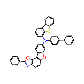 C1=CCC(c2ccc(N(c3ccc4c(c3)oc3ccc5nc(-c6ccccc6)oc5c34)c3cccc4c3sc3ccccc34)cc2)C=C1